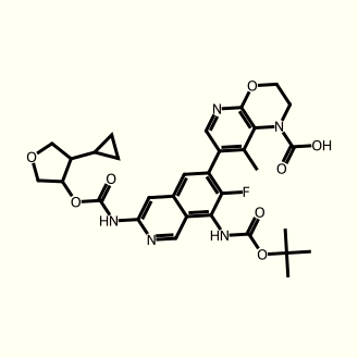 Cc1c(-c2cc3cc(NC(=O)OC4COCC4C4CC4)ncc3c(NC(=O)OC(C)(C)C)c2F)cnc2c1N(C(=O)O)CCO2